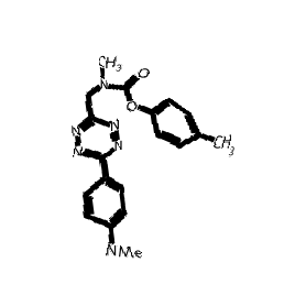 CNc1ccc(-c2nnc(CN(C)C(=O)Oc3ccc(C)cc3)nn2)cc1